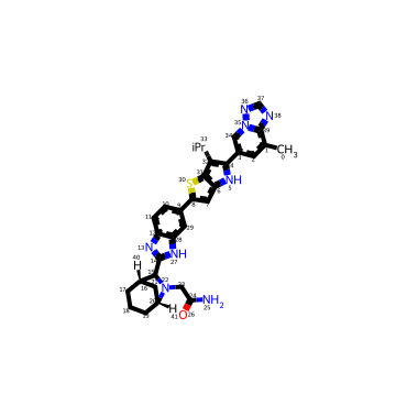 Cc1cc(-c2[nH]c3cc(-c4ccc5nc(C6[C@H]7CCC[C@H](C7)N6CC(N)=O)[nH]c5c4)sc3c2C(C)C)cn2ncnc12